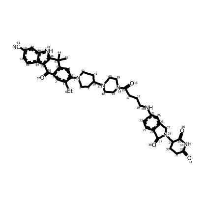 CCc1cc2c(cc1N1CCC(N3CCN(C(=O)CCCNc4ccc5c(c4)CN(C4CCC(=O)NC4=O)C5=O)CC3)CC1)C(C)(C)c1[nH]c3cc(C#N)ccc3c1C2=O